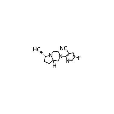 C#C[C@H]1CC[C@H]2CN(c3ncc(F)cc3C#N)CCN21